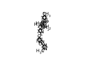 BC(B)(Oc1ccc(COc2cnc3oc(-c4cc(C)ncn4)nc3c2)nc1)C(B)(B)OS(=O)(=O)c1ccc(C)cc1